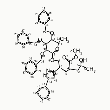 COC(=O)C(C[C@H](COC1OC(C)C(OCc2ccccc2)C(OCc2ccccc2)C1OCc1ccccc1)n1cc(-c2ccccc2)nn1)C[C@H](C)O